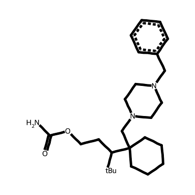 CC(C)(C)C(CCOC(N)=O)C1(CN2CCN(Cc3ccccc3)CC2)CCCCC1